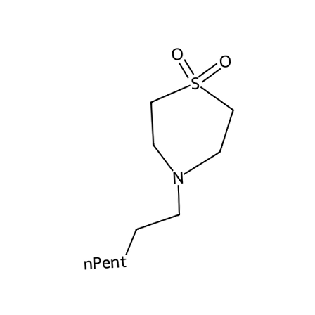 CCCCCCCN1CCS(=O)(=O)CC1